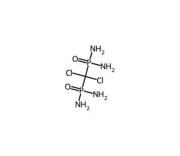 NP(N)(=O)C(Cl)(Cl)P(N)(N)=O